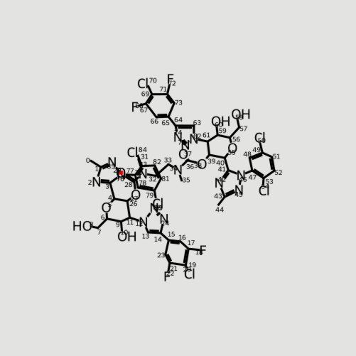 Cc1nc(C2OC(CO)C(O)C(n3cc(-c4cc(F)c(Cl)c(F)c4)nn3)C2OC(=O)N(C)CCN(C)C(=O)OC2C(c3nc(C)nn3-c3cc(Cl)ccc3Cl)OC(CO)C(O)C2n2cc(-c3cc(F)c(Cl)c(F)c3)nn2)n(-c2cc(Cl)ccc2Cl)n1